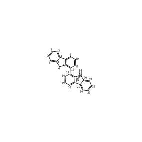 c1ccc2c(c1)Cc1c-2cccc1-c1cccc2c1[nH]c1ccccc12